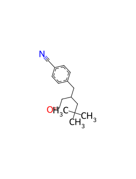 CC(C)(C)CC(CC=O)Cc1ccc(C#N)cc1